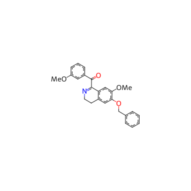 COc1cccc(C(=O)C2=NCCc3cc(OCc4ccccc4)c(OC)cc32)c1